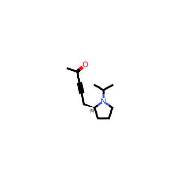 CC(=O)C#CC[C@@H]1CCCN1C(C)C